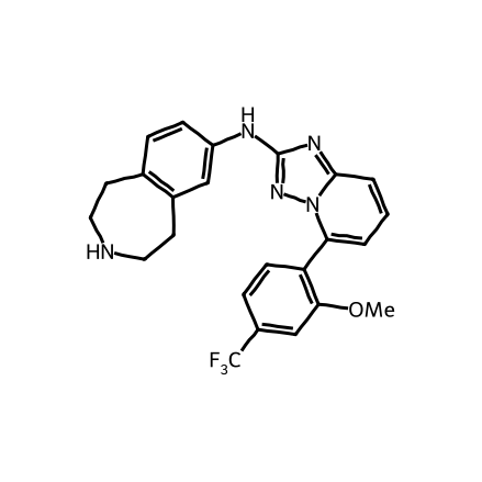 COc1cc(C(F)(F)F)ccc1-c1cccc2nc(Nc3ccc4c(c3)CCNCC4)nn12